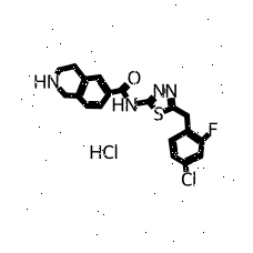 Cl.O=C(Nc1nnc(Cc2ccc(Cl)cc2F)s1)c1ccc2c(c1)CCNC2